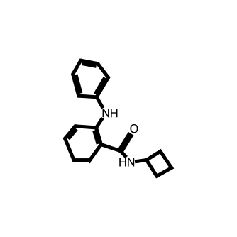 O=C(NC1CCC1)C1=C(Nc2ccccc2)C=CC[CH]1